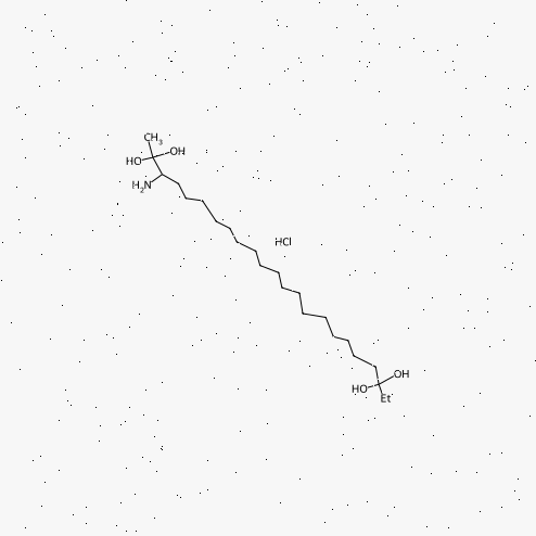 CCC(O)(O)CCCCCCCCCCCCCCCCCC(N)C(C)(O)O.Cl